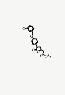 CNCC1CN(C2=CCC(OCc3cccc(Cl)c3)C=C2)C(=O)O1